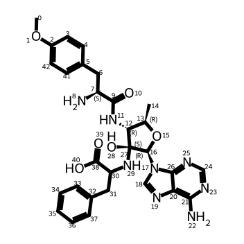 COc1ccc(C[C@H](N)C(=O)N[C@@H]2[C@@H](C)O[C@@H](n3cnc4c(N)ncnc43)[C@]2(O)NC(Cc2ccccc2)C(=O)O)cc1